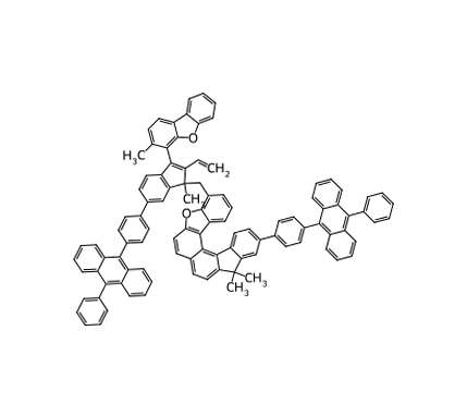 C=CC1=C(c2c(C)ccc3c2oc2ccccc23)c2ccc(-c3ccc(-c4c5ccccc5c(-c5ccccc5)c5ccccc45)cc3)cc2C1(C)Cc1cccc2c1oc1ccc3ccc4c(c3c12)-c1ccc(-c2ccc(-c3c5ccccc5c(-c5ccccc5)c5ccccc35)cc2)cc1C4(C)C